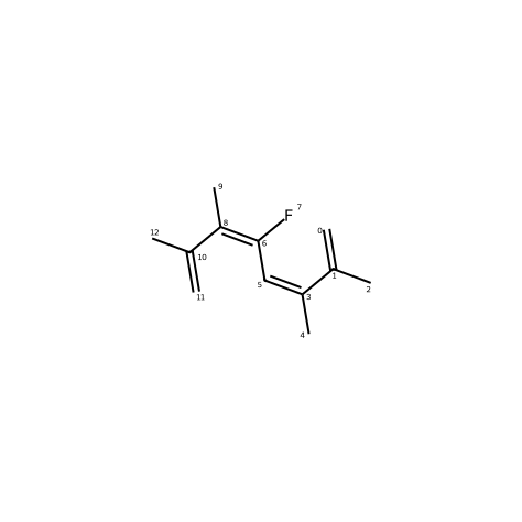 C=C(C)/C(C)=C\C(F)=C(\C)C(=C)C